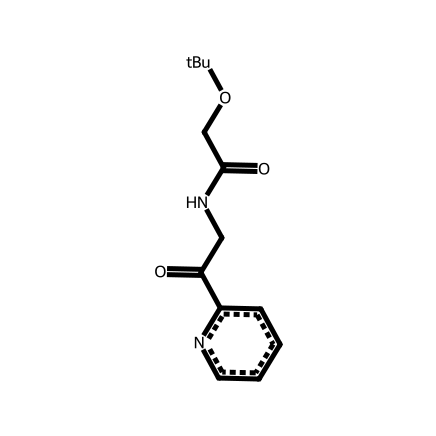 CC(C)(C)OCC(=O)NCC(=O)c1ccccn1